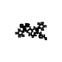 C=CC(=C)N(C/C=C/CN(C(=O)CC)C1C=CCC1)C1C=CCC1